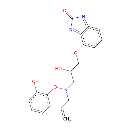 C=CCN(CC(O)COc1cccc2c1=NC(=O)N=2)Oc1ccccc1O